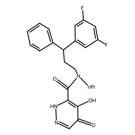 CCCN(CCC(c1ccccc1)c1cc(F)cc(F)c1)C(=O)c1[nH]ncc(=O)c1O